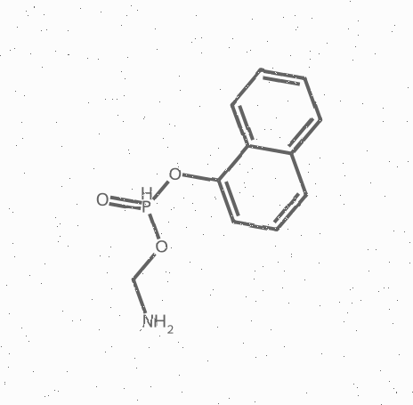 NCO[PH](=O)Oc1cccc2ccccc12